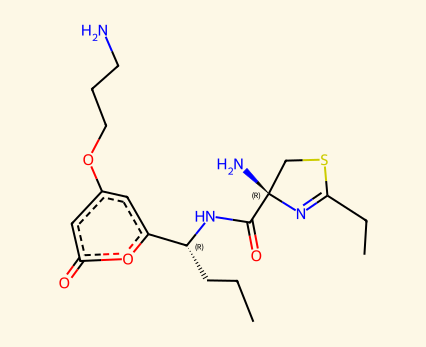 CCC[C@@H](NC(=O)[C@]1(N)CSC(CC)=N1)c1cc(OCCCN)cc(=O)o1